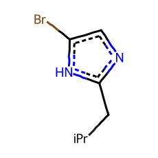 CC(C)Cc1ncc(Br)[nH]1